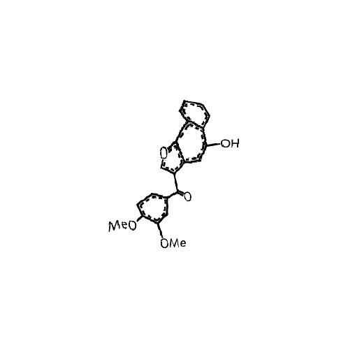 COc1ccc(C(=O)c2coc3c2cc(O)c2ccccc23)cc1OC